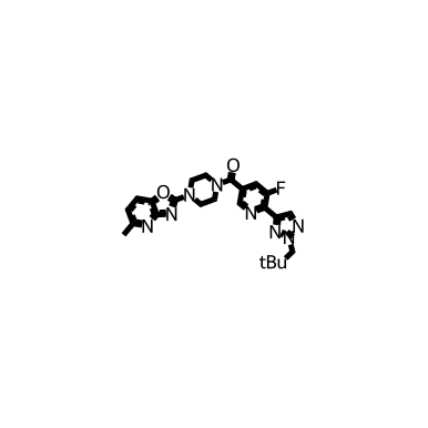 Cc1ccc2oc(N3CCN(C(=O)c4cnc(-c5cnn(CC(C)(C)C)n5)c(F)c4)CC3)nc2n1